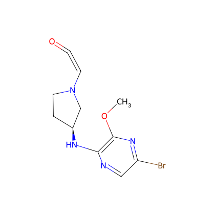 COc1nc(Br)cnc1N[C@H]1CCN(C=C=O)C1